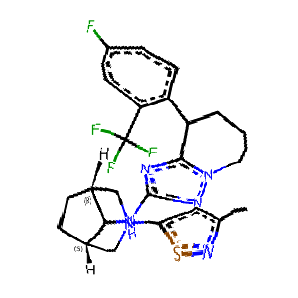 Cc1cc(N2C[C@H]3CC[C@@H](C2)C3Nc2nc3n(n2)CCCC3c2ccc(F)cc2C(F)(F)F)sn1